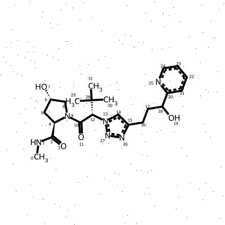 CNC(=O)[C@H]1C[C@H](O)CN1C(=O)[C@@H](n1cc(CCC(O)c2ccccn2)nn1)C(C)(C)C